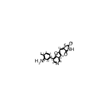 Cc1ccc(-c2cncc3cc(/C=C4/SC(=O)NC4=O)oc23)cc1N